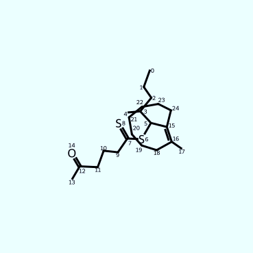 CCCC(C)C(SC(=S)CCCC(C)=O)/C1=C(/C)CCCCCCC1